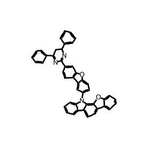 c1ccc(C2=NC(c3ccc4c(c3)oc3ccc(-n5c6ccccc6c6ccc7c8ccccc8oc7c65)cc34)=NC(c3ccccc3)C2)cc1